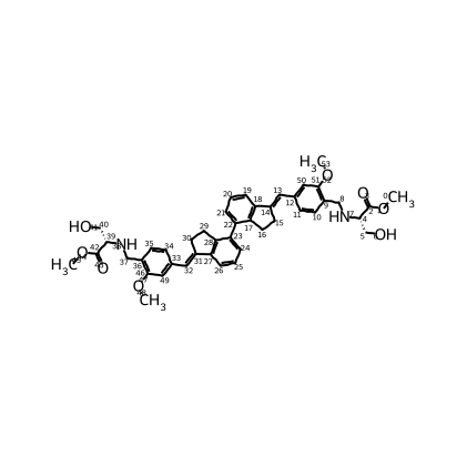 COC(=O)[C@H](CO)NCc1ccc(/C=C2\CCc3c2cccc3-c2cccc3c2CC/C3=C\c2ccc(CN[C@@H](CO)C(=O)OC)c(OC)c2)cc1OC